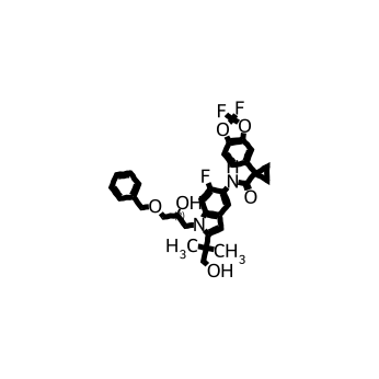 CC(C)(CO)c1cc2cc(NC(=O)C3(c4ccc5c(c4)OC(F)(F)O5)CC3)c(F)cc2n1C[C@@H](O)COCc1ccccc1